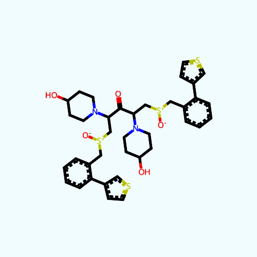 O=C(C(C[S+]([O-])Cc1ccccc1-c1ccsc1)N1CCC(O)CC1)C(C[S+]([O-])Cc1ccccc1-c1ccsc1)N1CCC(O)CC1